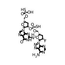 Nc1nc2c(ncn2[C@@H]2O[C@H](COP(=O)(O)S)C[C@@H]2OP(=O)(S)OC[C@@H]2C[C@H](F)[C@H](n3nnc4c(N)ncnc43)O2)c(=O)[nH]1